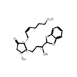 O=C(O)CCC/C=C\C[C@H]1C(=O)C[C@@H](O)[C@@H]1CC[C@H](O)C1Oc2ccccc2O1